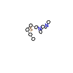 c1ccc(-c2ccc(-c3cccc4c3sc3c(-c5ccc(-n6c7ccccc7c7c8ccn(-c9ccccc9)c8ccc76)cc5)cccc34)cc2)cc1